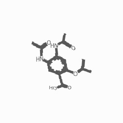 CC(=O)Nc1cc(OC(C)C)c(C(=O)O)cc1NC(C)=O